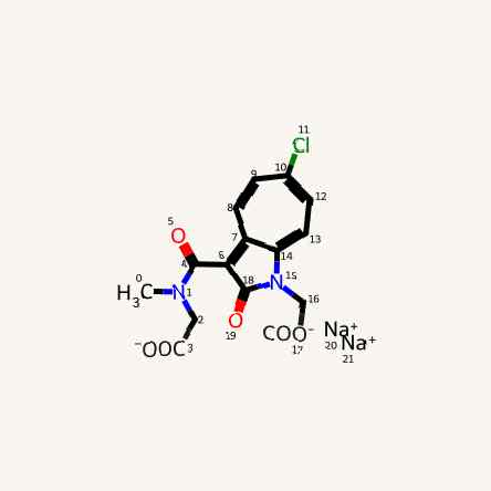 CN(CC(=O)[O-])C(=O)c1c2ccc(Cl)ccc-2n(CC(=O)[O-])c1=O.[Na+].[Na+]